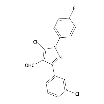 O=Cc1c(-c2cccc(Cl)c2)nn(-c2ccc(F)cc2)c1Cl